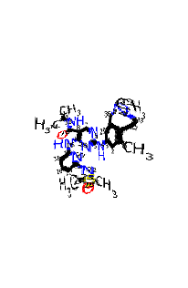 Cc1cc(Nc2ncc(C(=O)NC(C)C)c(Nc3cccc(N=S(C)(C)=O)n3)n2)cc2c1CCN(C)C2